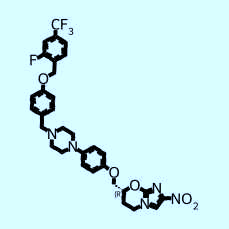 O=[N+]([O-])c1cn2c(n1)O[C@@H](COc1ccc(N3CCN(Cc4ccc(OCc5ccc(C(F)(F)F)cc5F)cc4)CC3)cc1)CC2